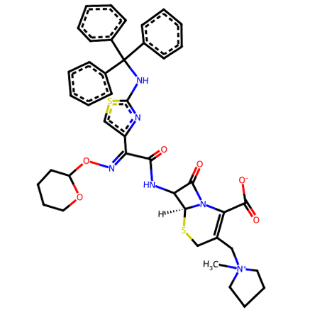 C[N+]1(CC2=C(C(=O)[O-])N3C(=O)C(NC(=O)C(=NOC4CCCCO4)c4csc(NC(c5ccccc5)(c5ccccc5)c5ccccc5)n4)[C@@H]3SC2)CCCC1